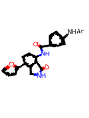 CC(=O)Nc1ccc(C(=O)Nc2ccc(-c3ccco3)c3c2C(=O)NC3)cc1